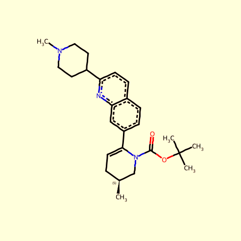 C[C@H]1CC=C(c2ccc3ccc(C4CCN(C)CC4)nc3c2)N(C(=O)OC(C)(C)C)C1